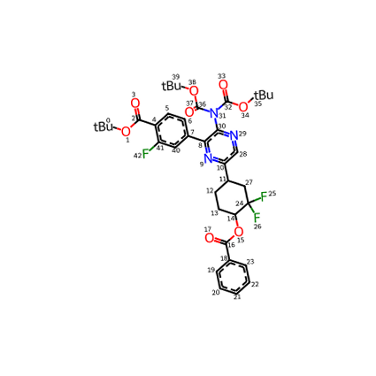 CC(C)(C)OC(=O)c1ccc(-c2nc(C3CCC(OC(=O)c4ccccc4)C(F)(F)C3)cnc2N(C(=O)OC(C)(C)C)C(=O)OC(C)(C)C)cc1F